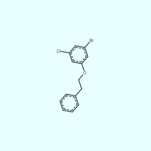 Clc1cc(Br)cc(OCCc2ccccc2)c1